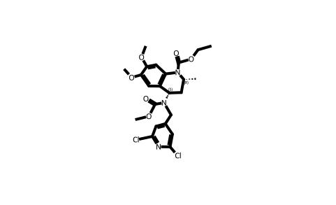 CCOC(=O)N1c2cc(OC)c(OC)cc2[C@@H](N(Cc2cc(Cl)nc(Cl)c2)C(=O)OC)C[C@H]1C